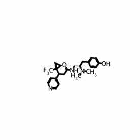 CN(C)[C@H](CNC(=O)CC(c1ccncc1)C1(C(F)(F)F)CC1)Cc1ccc(O)cc1